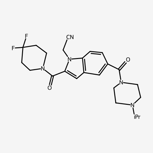 CC(C)N1CCN(C(=O)c2ccc3c(c2)cc(C(=O)N2CCC(F)(F)CC2)n3CC#N)CC1